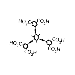 Cc1c(C#Cc2cc(C(=O)O)cc(C(=O)O)c2)c(C)c(C#Cc2cc(C(=O)O)cc(C(=O)O)c2)c(C)c1C#Cc1cc(C(=O)O)cc(C(=O)O)c1